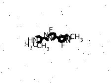 Cn1cc2cc(-c3cc(F)c4nc(C5CCNC(C)(C)C5)cn4c3)cc(F)c2n1